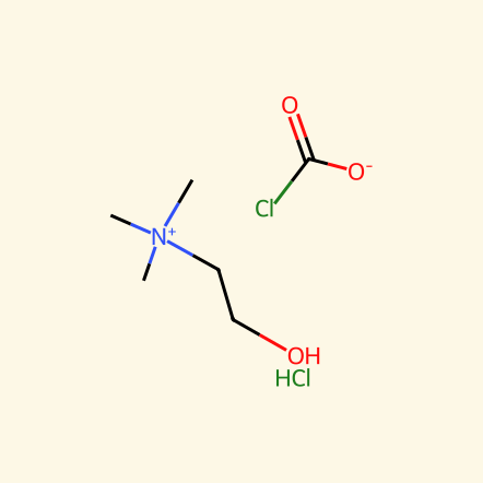 C[N+](C)(C)CCO.Cl.O=C([O-])Cl